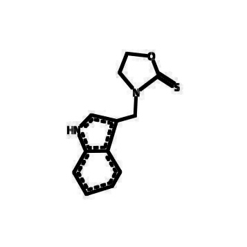 S=C1OCCN1Cc1c[nH]c2ccccc12